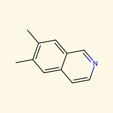 Cc1cc2ccncc2cc1C